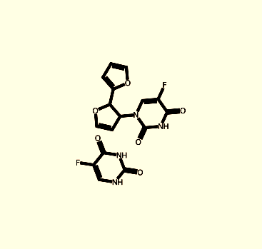 O=c1[nH]c(=O)n(C2C=COC2c2ccco2)cc1F.O=c1[nH]cc(F)c(=O)[nH]1